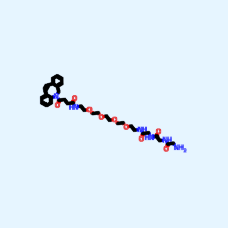 NCC(=O)NCC(=O)NCC(=O)NCCOCCOCCOCCOCCNC(=O)CCC(=O)N1Cc2ccccc2C#Cc2ccccc21